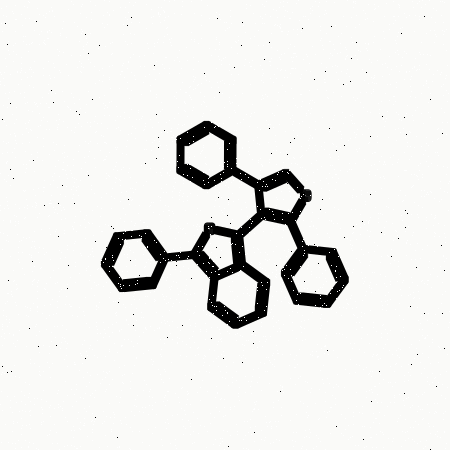 c1ccc(-c2coc(-c3ccccc3)c2-c2oc(-c3ccccc3)c3ccccc23)cc1